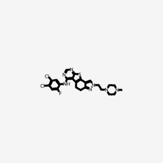 CN1CCN(CCn2cc3c(n2)CCc2c-3sc3ncnc(Nc4cc(Cl)c(Cl)cc4F)c23)CC1